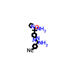 Cn1c(C(N)c2ccc(C#N)cc2)nc2cc(C(C)(CN)C(=O)N3CCCC3)ccc21